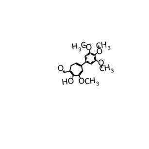 COC1=CC(c2cc(OC)c(OC)c(OC)c2)=CCC(C=O)=C1O